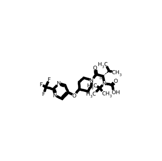 CC(C)[C@@H](C(=O)N1CCC(Oc2cnc(C(F)(F)F)nc2)CC1)N(C(=O)O)C(C)(C)C